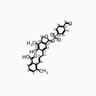 Cc1cccc(C(=O)O)c1/C=C/Cc1cc2c(c(C)c1O)COC2OS(=O)(=O)c1ccc(C=O)cc1